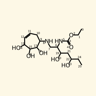 CCOC(=O)NC(CNC1CC=CC(O)C(O)C1O)C(O)CC(O)CC